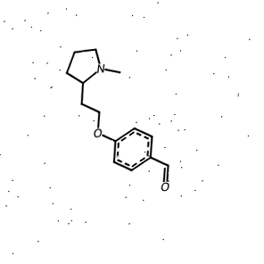 CN1CCCC1CCOc1ccc(C=O)cc1